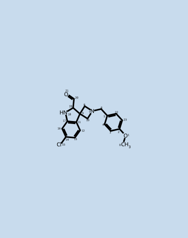 COc1ccc(CN2CC3(C2)c2ccc(Cl)cc2NC3C=O)cc1